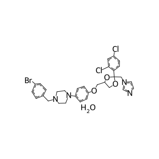 Clc1ccc(C2(Cn3ccnc3)OCC(COc3ccc(N4CCN(Cc5ccc(Br)cc5)CC4)cc3)O2)c(Cl)c1.O